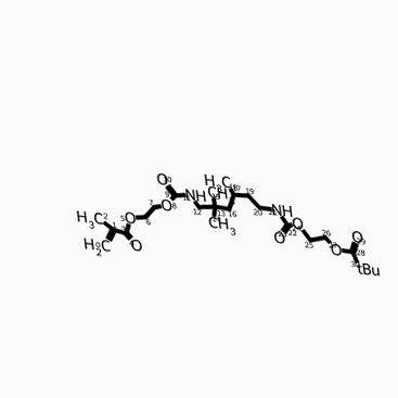 C=C(C)C(=O)OCCOC(=O)NCC(C)(C)CC(C)CCNC(=O)OCCOC(=O)C(C)(C)C